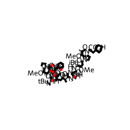 CC[C@H](C)[C@@H]([C@@H](CC(=O)N1CCC[C@H]1[C@H](OC)[C@@H](C)C(=O)N[C@@H](Cc1ccccc1)C(=O)O)OC)N(C)C(=O)[C@@H](NC(=O)[C@H](C(C)CCC(C)[C@H](NC(=O)[C@H](C(C)C)N(C)C(C)(C)C)C(=O)N(C)[C@@H]([C@@H](C)CC)[C@@H](CC(=O)N1CCC[C@H]1[C@H](OC)[C@@H](C)C(=O)N[C@H](C)[C@@H](O)c1ccccc1)OC)N(C)C(C)(C)S)C(C)C